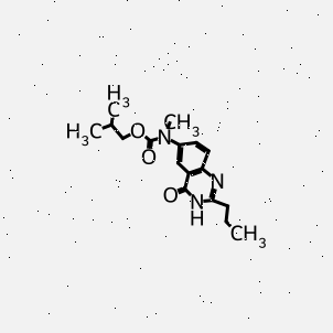 CCCc1nc2ccc(N(C)C(=O)OCC(C)C)cc2c(=O)[nH]1